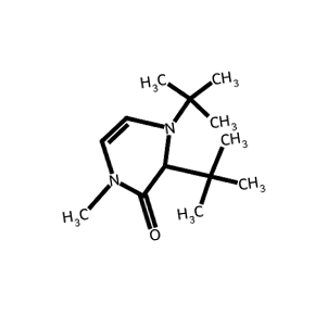 CN1C=CN(C(C)(C)C)C(C(C)(C)C)C1=O